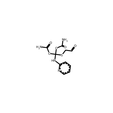 NC(=O)OC(Nc1ccccn1)(OC(N)=O)SCC=O